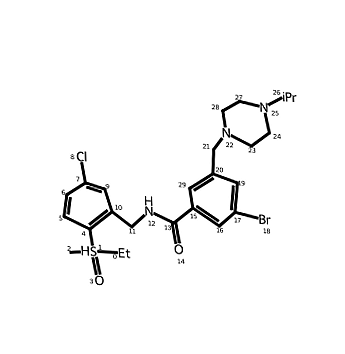 CC[SH](C)(=O)c1ccc(Cl)cc1CNC(=O)c1cc(Br)cc(CN2CCN(C(C)C)CC2)c1